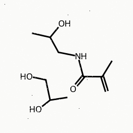 C=C(C)C(=O)NCC(C)O.CC(O)CO